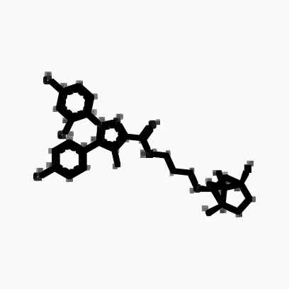 Cc1c(C(=O)NCCCO[C@H]2C[C@@H]3CC[C@@]2(C)C3(C)C)nn(-c2ccc(Cl)cc2Cl)c1-c1ccc(Cl)cc1